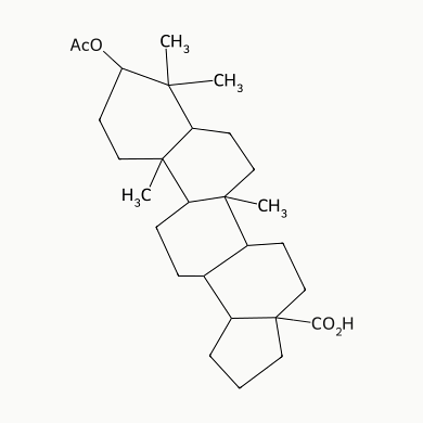 CC(=O)OC1CCC2(C)C(CCC3(C)C4CCC5(C(=O)O)CCCC5C4CCC32)C1(C)C